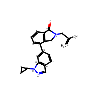 C=C(C#N)CN1Cc2c(cccc2-c2ccc3cnn(C4CC4)c3c2)C1=O